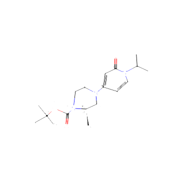 CC(C)n1ccc(N2CCN(C(=O)OC(C)(C)C)[C@H](C)C2)cc1=O